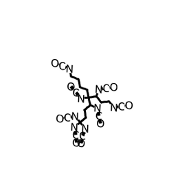 O=C=NCCCCC(N=C=O)(C(CCN=C=O)N=C=O)C(CCC(N=C=O)(N=C=O)N=C=O)N=C=O